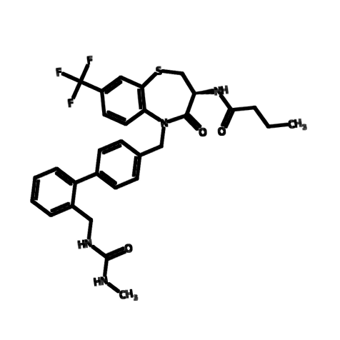 CCCC(=O)N[C@@H]1CSc2cc(C(F)(F)F)ccc2N(Cc2ccc(-c3ccccc3CNC(=O)NC)cc2)C1=O